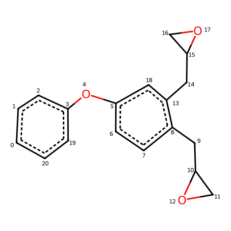 c1ccc(Oc2ccc(CC3CO3)c(CC3CO3)c2)cc1